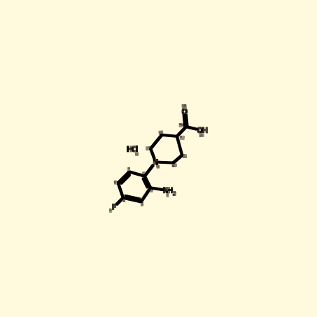 Cl.Nc1cc(F)ccc1N1CCC(C(=O)O)CC1